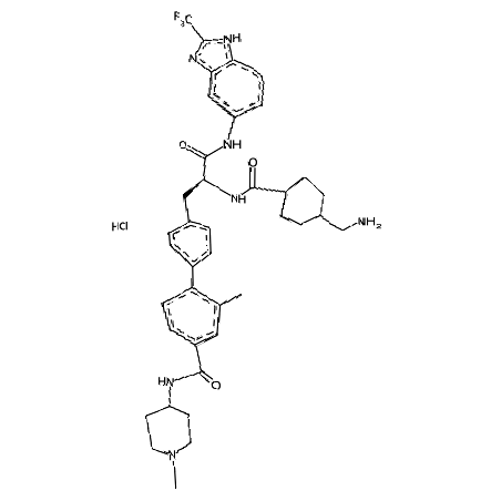 Cc1cc(C(=O)NC2CCN(C)CC2)ccc1-c1ccc(C[C@H](NC(=O)C2CCC(CN)CC2)C(=O)Nc2ccc3[nH]c(C(F)(F)F)nc3c2)cc1.Cl